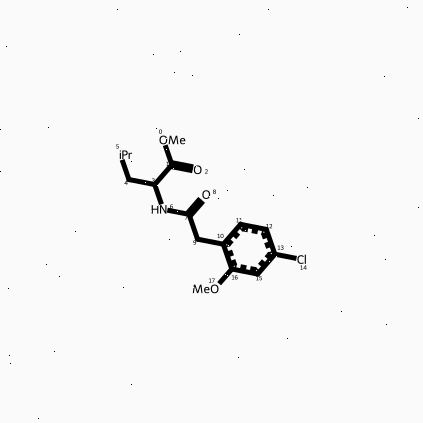 COC(=O)C(CC(C)C)NC(=O)Cc1ccc(Cl)cc1OC